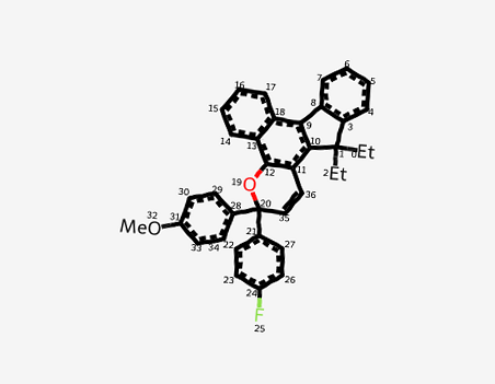 CCC1(CC)c2ccccc2-c2c1c1c(c3ccccc23)OC(c2ccc(F)cc2)(c2ccc(OC)cc2)C=C1